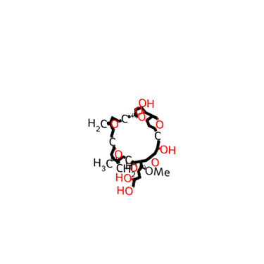 C=C1CC2CC[C@]34CC(O)C(O3)C3CC(CC(CCC(O)CC(=O)CC5[C@@H](OC)C(CC(O)CO)O[C@H]5CC5OC(CCC1O2)C[C@@H](C)C5=C)O3)O4